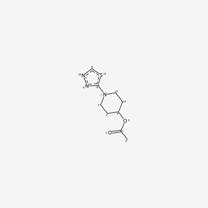 CC(=O)OC1CCN(c2nncs2)CC1